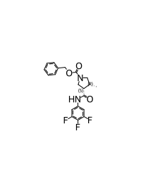 C[C@H]1CN(C(=O)OCc2ccccc2)C[C@H]1C(=O)Nc1cc(F)c(F)c(F)c1